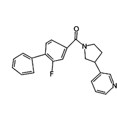 O=C(c1ccc(-c2ccccc2)c(F)c1)N1CCC(c2cccnc2)C1